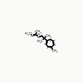 C/N=C(\C)NCC(C)(C)C1=CC=C(C)C=CC1